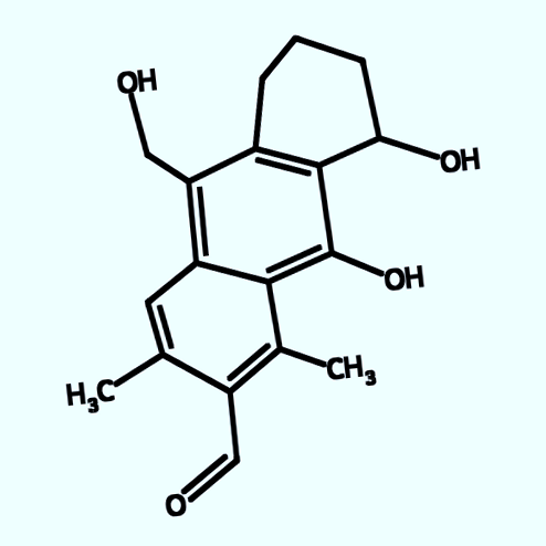 Cc1cc2c(CO)c3c(c(O)c2c(C)c1C=O)C(O)CCC3